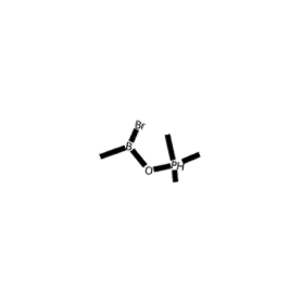 CB(Br)O[PH](C)(C)C